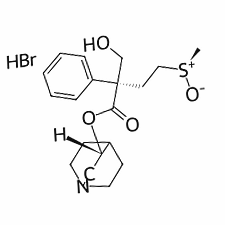 Br.C[S@@+]([O-])CC[C@](CO)(C(=O)O[C@H]1CN2CCC1CC2)c1ccccc1